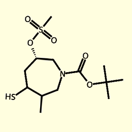 CC1CN(C(=O)OC(C)(C)C)C[C@@H](OS(C)(=O)=O)CC1S